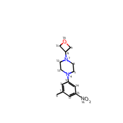 Cc1cc(N2CCN(C3COC3)CC2)cc([N+](=O)[O-])c1